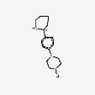 CN1CCN(c2ccc([C@@H]3CCCCN3)cc2)CC1